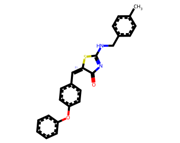 Cc1ccc(CNC2=NC(=O)/C(=C\c3ccc(Oc4ccccc4)cc3)S2)cc1